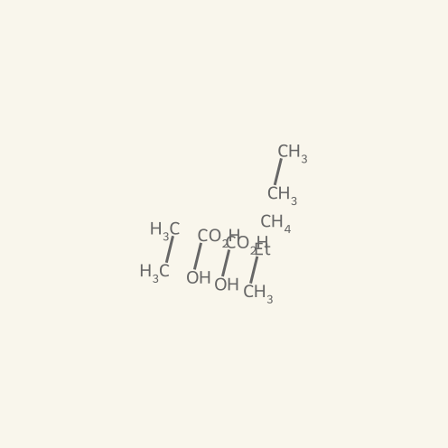 C.CC.CC.CCC.O=C(O)O.O=C(O)O